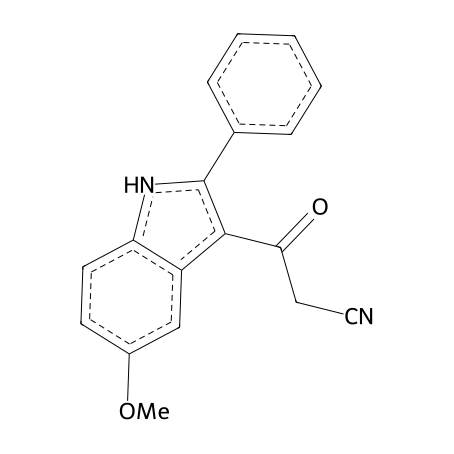 COc1ccc2[nH]c(-c3ccccc3)c(C(=O)CC#N)c2c1